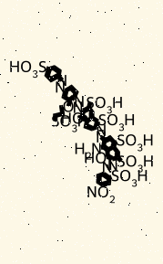 Nc1c(N=Nc2ccc3c(O)c(N=Nc4ccc(N=Nc5ccc(S(=O)(=O)O)cc5)cc4OCCCS(=O)(=O)O)c(S(=O)(=O)O)cc3c2S(=O)(=O)O)cc(S(=O)(=O)O)c2cc(S(=O)(=O)O)c(N=Nc3ccc([N+](=O)[O-])cc3S(=O)(=O)O)c(O)c12